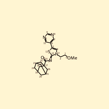 COCCn1cc(-c2cncnc2)sc1=NC(=O)C12CC3CC(CC(C3)C1)C2